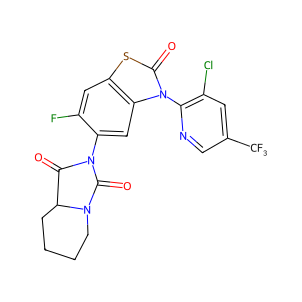 O=C1C2CCCCN2C(=O)N1c1cc2c(cc1F)sc(=O)n2-c1ncc(C(F)(F)F)cc1Cl